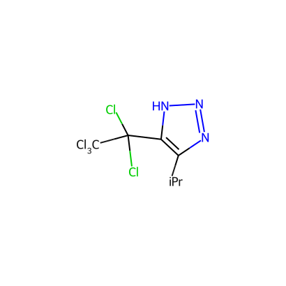 CC(C)c1nn[nH]c1C(Cl)(Cl)C(Cl)(Cl)Cl